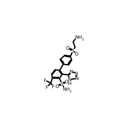 NCCS(=O)(=O)c1ccc(-c2ccc(C(F)(F)F)c(S(N)(=O)=O)c2-c2nnn[nH]2)cc1